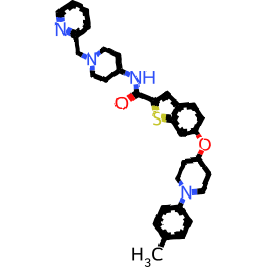 Cc1ccc(N2CCC(Oc3ccc4cc(C(=O)NC5CCN(Cc6ccccn6)CC5)sc4c3)CC2)cc1